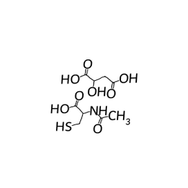 CC(=O)NC(CS)C(=O)O.O=C(O)CC(O)C(=O)O